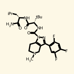 CC(C)C[C@H](NC(=O)[C@@H](NC(=O)n1nc(-c2cc(F)c(F)cc2F)c2c1CCN(C)C2)C(C)(C)C)C(N)=O